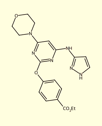 CCOC(=O)c1ccc(Oc2nc(Nc3cc[nH]n3)cc(N3CCOCC3)n2)cc1